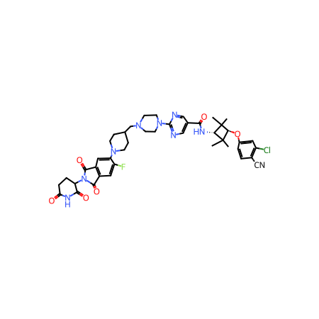 CC1(C)[C@H](NC(=O)c2cnc(N3CCN(CC4CCN(c5cc6c(cc5F)C(=O)N(C5CCC(=O)NC5=O)C6=O)CC4)CC3)nc2)C(C)(C)[C@H]1Oc1ccc(C#N)c(Cl)c1